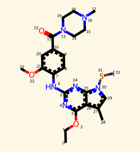 CCOc1nc(Nc2ccc(C(=O)N3CCN(C)CC3)cc2OC)nc2c1c(C)cn2SI